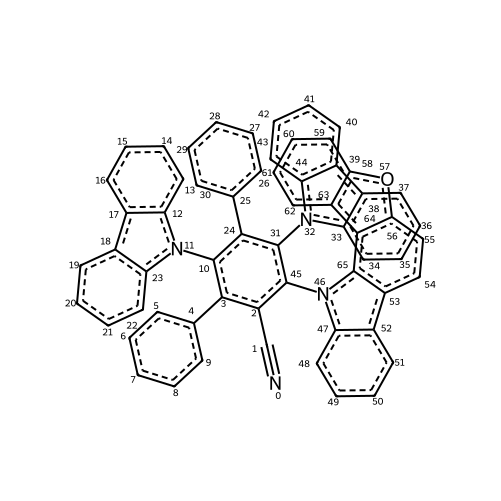 N#Cc1c(-c2ccccc2)c(-n2c3ccccc3c3ccccc32)c(-c2ccccc2)c(-n2c3ccccc3c3ccccc32)c1-n1c2ccccc2c2ccc3oc4ccccc4c3c21